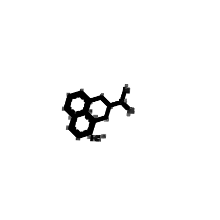 CCN(CC)C1Cc2cccc3cccc(c23)C1.Cl